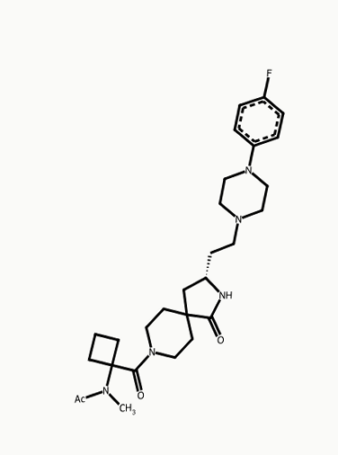 CC(=O)N(C)C1(C(=O)N2CCC3(CC2)C[C@H](CCN2CCN(c4ccc(F)cc4)CC2)NC3=O)CCC1